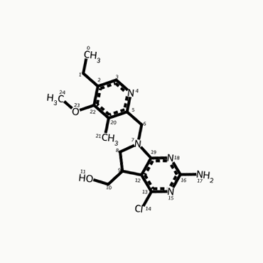 CCc1cnc(CN2CC(CO)c3c(Cl)nc(N)nc32)c(C)c1OC